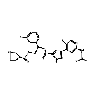 CC(C)Nc1cc(-c2c[nH]c(C(=O)NC(COC(=O)C3CCNC3)C3C=CC=C(Cl)C3)c2)c(Cl)cn1